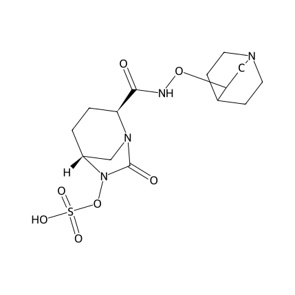 O=C(NOC1CN2CCC1CC2)[C@@H]1CC[C@@H]2CN1C(=O)N2OS(=O)(=O)O